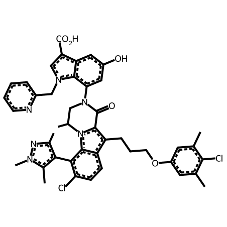 Cc1cc(OCCCc2c3n(c4c(-c5c(C)nn(C)c5C)c(Cl)ccc24)C(C)CN(c2cc(O)cc4c(C(=O)O)cn(Cc5ccccn5)c24)C3=O)cc(C)c1Cl